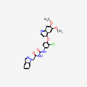 COc1cc2nccc(Oc3ccc(NC(=O)NC(=O)Cn4ncc5ccccc54)cc3Cl)c2cc1OC